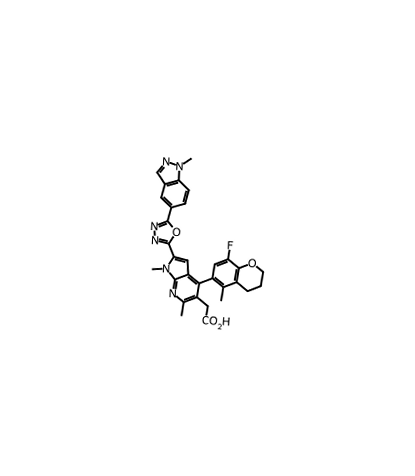 Cc1nc2c(cc(-c3nnc(-c4ccc5c(cnn5C)c4)o3)n2C)c(-c2cc(F)c3c(c2C)CCCO3)c1CC(=O)O